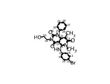 Cc1c(=O)n(C)c(Nc2ccc(Br)cc2)c2c(=O)n(CCO)c(=O)n(-c3ccccc3)c12